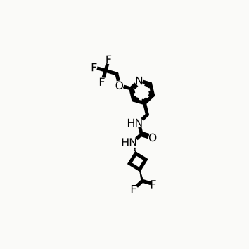 O=C(NCc1ccnc(OCC(F)(F)F)c1)N[C@H]1C[C@H](C(F)F)C1